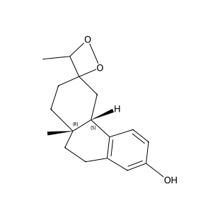 CC1OOC12CC[C@@]1(C)CCc3cc(O)ccc3[C@H]1C2